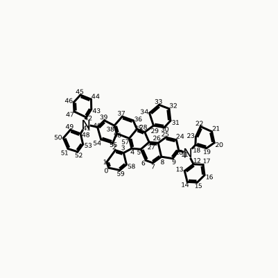 c1ccc(-c2c3ccc4cc(N(c5ccccc5)c5ccccc5)ccc4c3c(-c3ccccc3)c3ccc4cc(N(c5ccccc5)c5ccccc5)ccc4c23)cc1